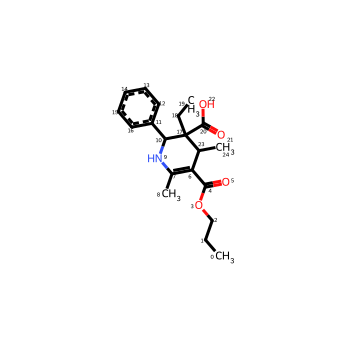 CCCOC(=O)C1=C(C)NC(c2ccccc2)C(CC)(C(=O)O)C1C